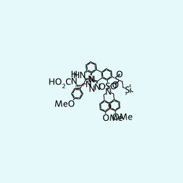 COc1ccc(CN(Cc2ccc(OC)cc2)S(=O)(=O)c2c(S(=O)(=O)CC[Si](C)(C)C)ccc(-c3cccc4[nH]c(C[C@H](C)NC(=O)O)nc34)c2-c2nnn(Cc3ccc(OC)cc3)n2)cc1